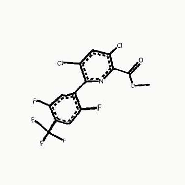 COC(=O)c1nc(-c2cc(F)c(C(F)(F)F)cc2F)c(Cl)cc1Cl